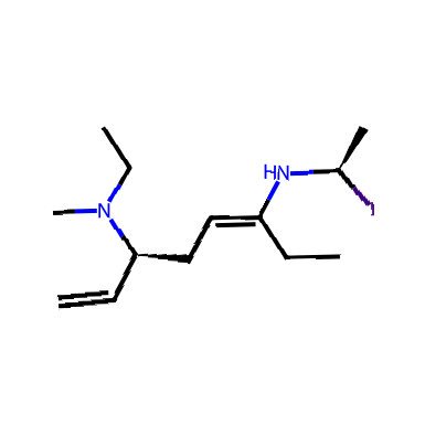 C=C[C@H](C/C=C(\CC)N[C@@H](C)I)N(C)CC